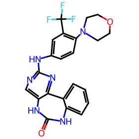 O=C1Nc2ccccc2-c2nc(Nc3ccc(N4CCOCC4)c(C(F)(F)F)c3)ncc2N1